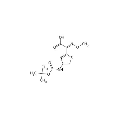 CO/N=C(/C(=O)O)c1nc(NC(=O)OC(C)(C)C)cs1